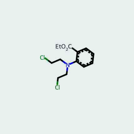 CCOC(=O)c1ccccc1N(CCCl)CCCl